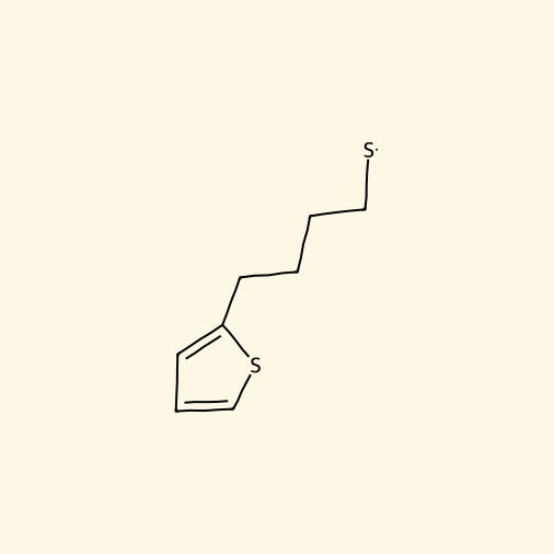 [S]CCCCc1cccs1